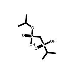 CC(C)OP(=O)(O)CP(=O)(O)C(C)C